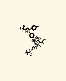 CC[C@@H](C)[C@@H](C(=O)NS(=O)(=O)c1ccc(-n2nc(C(F)(F)F)cc2-c2ccc(C)cc2)cc1)N(C)/[N+]([O-])=N/OCOC(=O)C(C)(C)C